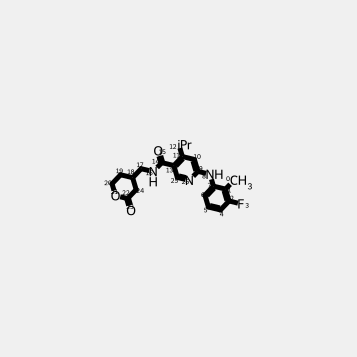 Cc1c(F)cccc1Nc1cc(C(C)C)c(C(=O)NCC2CCOC(=O)C2)cn1